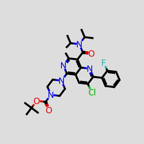 Cc1nc(N2CCN(C(=O)OC(C)(C)C)CC2)c2cc(Cl)c(-c3ccccc3F)nc2c1C(=O)N(C(C)C)C(C)C